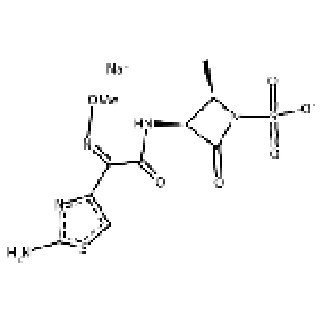 CON=C(C(=O)N[C@@H]1C(=O)N(S(=O)(=O)[O-])[C@@H]1C)c1csc(N)n1.[Na+]